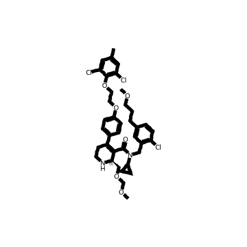 COCCCc1ccc(Cl)c(CN(C(=O)C2=C(c3ccc(OCCOc4c(Cl)cc(C)cc4Cl)cc3)CCN[C@@H]2COCOC)C2CC2)c1